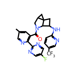 Cc1cnc(-c2ncc(F)cn2)c(C(=O)N2CC3CC34CC(Nc3ccc(C(F)(F)F)cn3)C24)c1